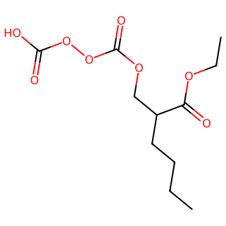 CCCCC(COC(=O)OOC(=O)O)C(=O)OCC